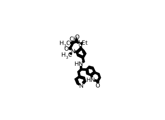 CCN1C(=O)C(C)(C)C(=O)N(C)c2cc(CNC(Cc3ccncc3)c3ccc4c(c3)NC(=O)CC4)ccc21